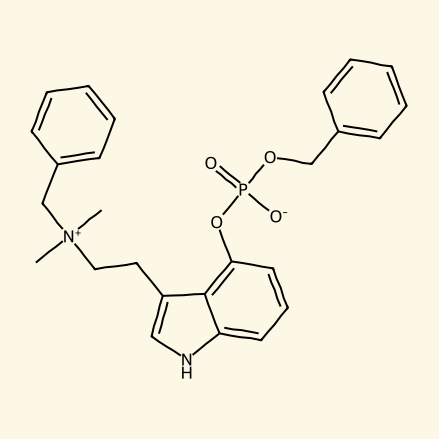 C[N+](C)(CCc1c[nH]c2cccc(OP(=O)([O-])OCc3ccccc3)c12)Cc1ccccc1